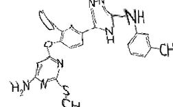 CSc1nc(N)cc(Oc2ccc(-c3nnc(Nc4cccc(C)c4)[nH]3)cc2Cl)n1